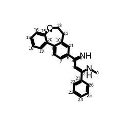 CN/C(=C\C(=N)c1ccc2c(c1)CCOc1ccccc1-2)c1ccccc1